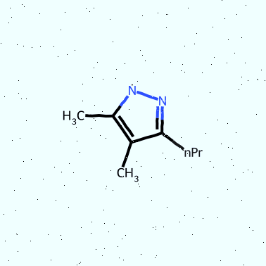 CCCC1=N[N]C(C)=C1C